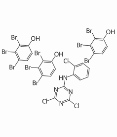 Clc1nc(Cl)nc(Nc2ccccc2Cl)n1.Oc1ccc(Br)c(Br)c1Br.Oc1ccc(Br)c(Br)c1Br.Oc1ccc(Br)c(Br)c1Br